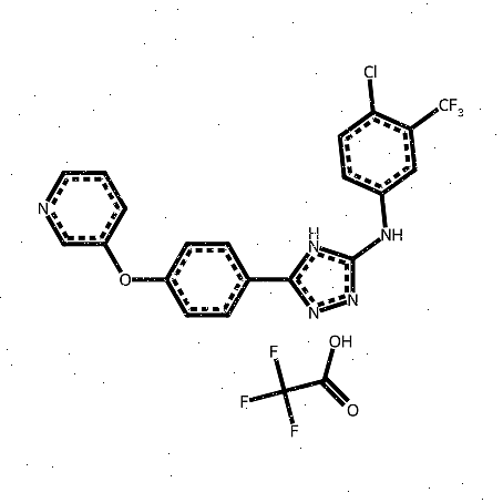 FC(F)(F)c1cc(Nc2nnc(-c3ccc(Oc4cccnc4)cc3)[nH]2)ccc1Cl.O=C(O)C(F)(F)F